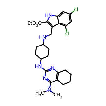 CCOC(=O)c1[nH]c2cc(Cl)cc(Cl)c2c1CNC1CCC(Nc2nc3c(c(N(C)C)n2)CCCC3)CC1